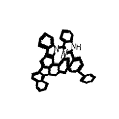 C1=CC(c2ccc(C3N=C(n4c5ccccc5c5cc6c7c(c54)-c4ccccc4CC7c4c-6ccc5ccccc45)c4ccccc4N3)cc2)=CCC1